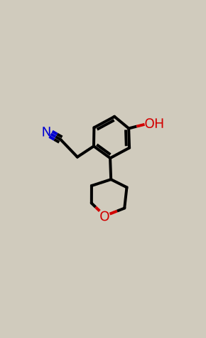 N#CCc1ccc(O)cc1C1CCOCC1